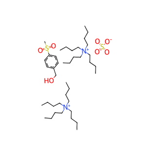 CCCC[N+](CCCC)(CCCC)CCCC.CCCC[N+](CCCC)(CCCC)CCCC.CS(=O)(=O)c1ccc(CO)cc1.O=S(=O)([O-])[O-]